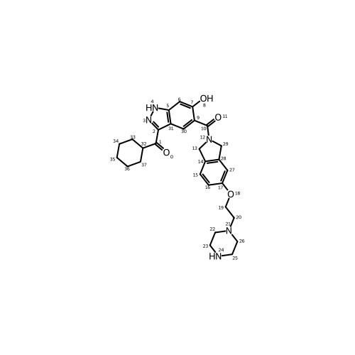 O=C(c1n[nH]c2cc(O)c(C(=O)N3Cc4ccc(OCCN5CCNCC5)cc4C3)cc12)C1CCCCC1